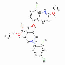 CCOC(=O)C1(COc2ccc(F)c3nc(OC)ccc23)CCN(c2ccc(Cl)cc2F)CC1